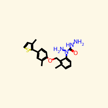 Cc1cc(-c2sccc2C)ccc1OCc1c(C)cccc1N(N)C(=O)NN